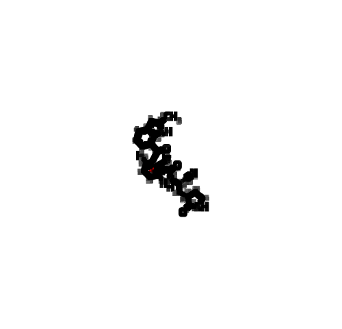 Cc1cc2cccc(C(=O)N3[C@H]4CC[C@@H]([C@@H]3C(=O)N[C@H](C#N)C[C@H]3CCNC3=O)C(F)(F)C4)c2[nH]1